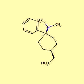 CCOC(=O)C[C@H]1CC[C@@](c2ccccc2)(N(C)C)CC1